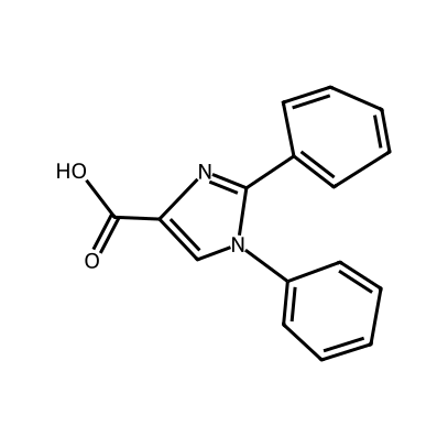 O=C(O)c1cn(-c2ccccc2)c(-c2ccccc2)n1